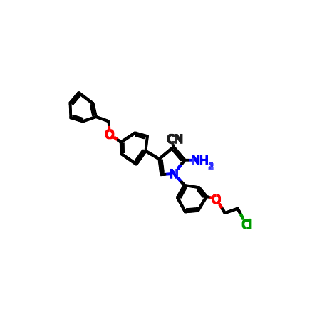 N#Cc1c(-c2ccc(OCc3ccccc3)cc2)cn(-c2cccc(OCCCl)c2)c1N